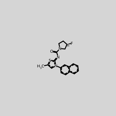 Cc1cn(-c2ccc3ccccc3c2)c(=NC(=O)N2CC[C@@H](F)C2)s1